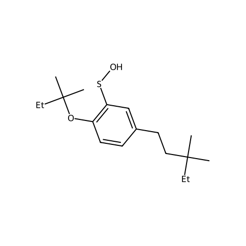 CCC(C)(C)CCc1ccc(OC(C)(C)CC)c(SO)c1